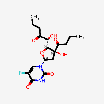 CCCC(=O)C(O)[C@H]1O[C@@H](n2cc(F)c(=O)[nH]c2=O)C[C@@]1(O)C(=O)CCC